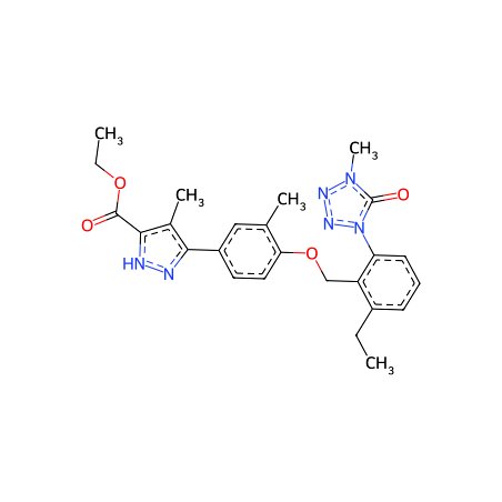 CCOC(=O)c1[nH]nc(-c2ccc(OCc3c(CC)cccc3-n3nnn(C)c3=O)c(C)c2)c1C